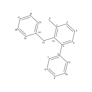 Cc1cccc(-c2ccccc2)c1Cc1ccccc1